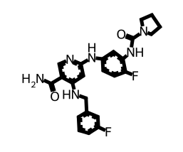 NC(=O)c1cnc(Nc2ccc(F)c(NC(=O)N3CCCC3)c2)cc1NCc1cccc(F)c1